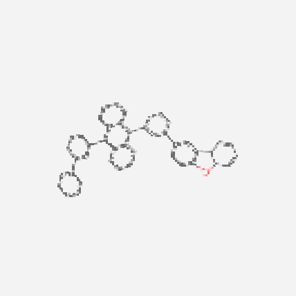 C1=CC2Oc3ccc(-c4cccc(-c5c6ccccc6c(-c6cccc(-c7ccccc7)c6)c6ccccc56)c4)cc3C2C=C1